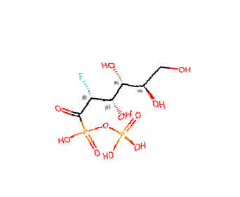 O=C([C@H](F)[C@@H](O)[C@H](O)[C@H](O)CO)P(=O)(O)OP(=O)(O)O